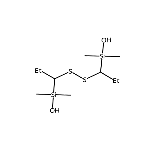 CCC(SSC(CC)[Si](C)(C)O)[Si](C)(C)O